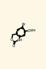 COc1cc2c(cc1Br)COC(=O)N2